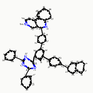 c1ccc(-c2nc(-c3ccccc3)nc(-c3cc(-c4ccc(-c5ccc6ccccc6c5)cc4)cc(-c4ccc(-c5nc6ccccc6c6ccncc56)cc4)c3)n2)cc1